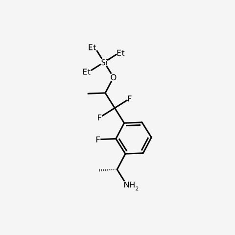 CC[Si](CC)(CC)OC(C)C(F)(F)c1cccc([C@@H](C)N)c1F